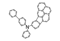 c1ccc(-c2ccc(N(c3ccccc3)c3ccc4c(c3)-c3cc5cccc6ccc7ccc-4c3c7c65)cc2)cc1